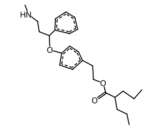 CCCC(CCC)C(=O)OCCc1ccc(OC(CCNC)c2ccccc2)cc1